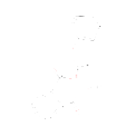 CCCCOC(=O)c1ccccc1C(=O)OC(C)Oc1ccccc1